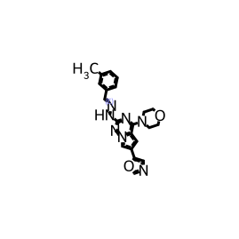 Cc1cccc(/C=N/Nc2nc(N3CCOCC3)c3cc(-c4cnco4)cn3n2)c1